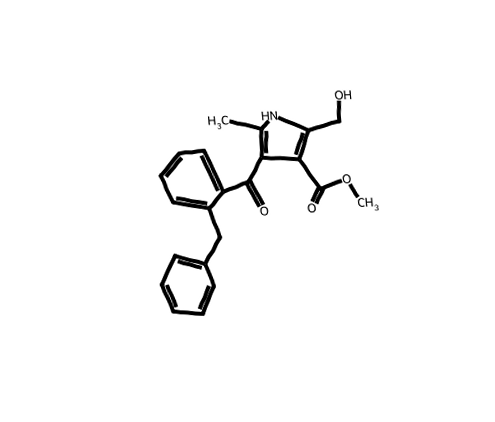 COC(=O)c1c(CO)[nH]c(C)c1C(=O)c1ccccc1Cc1ccccc1